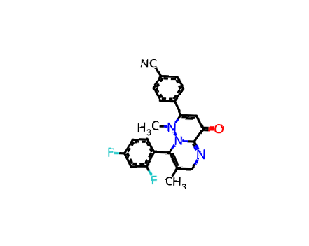 CC1=C(c2ccc(F)cc2F)N2C(=NC1)C(=O)C=C(c1ccc(C#N)cc1)N2C